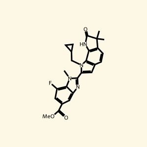 COC(=O)c1cc(F)c2c(c1)nc(-c1cc3ccc4c(c3n1CC1CC1)NC(=O)C4(C)C)n2C